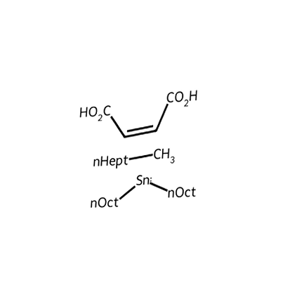 CCCCCCCC.CCCCCCC[CH2][Sn][CH2]CCCCCCC.O=C(O)/C=C\C(=O)O